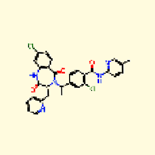 Cc1ccc(NC(=O)c2ccc(C(C)N3C(=O)c4ccc(Cl)cc4NC(=O)C3Cc3ccccn3)cc2Cl)nc1